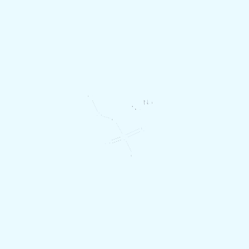 O=S(=O)([O-])OO[O-].[Na+].[Na+]